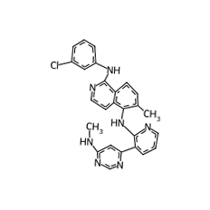 CNc1cc(-c2cccnc2Nc2c(C)ccc3c(Nc4cccc(Cl)c4)nccc23)ncn1